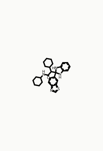 O=C(NC1CCCCC1)C(C1CCCCC1)C1(c2ccc3ncsc3c2)Nc2ccccc2N1